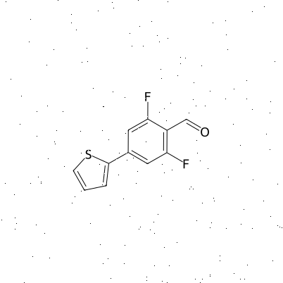 O=Cc1c(F)cc(-c2cccs2)cc1F